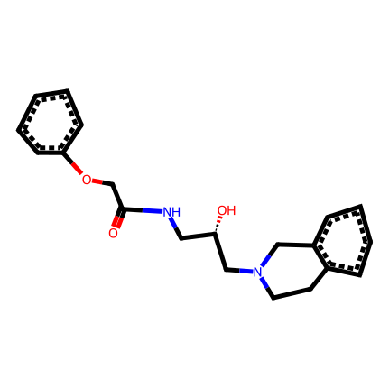 O=C(COc1ccccc1)NC[C@H](O)CN1CCc2ccccc2C1